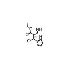 CCOC(=O)/C(C=N)=C(\Cl)c1ccc[nH]1